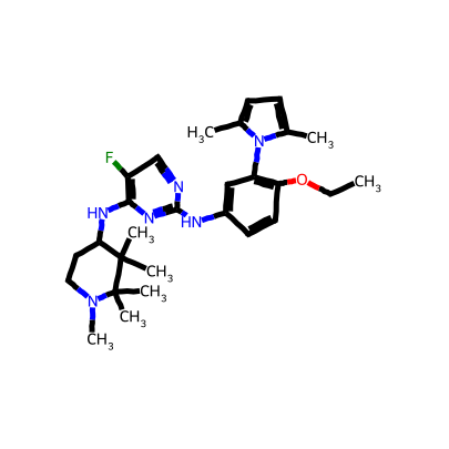 CCOc1ccc(Nc2ncc(F)c(NC3CCN(C)C(C)(C)C3(C)C)n2)cc1-n1c(C)ccc1C